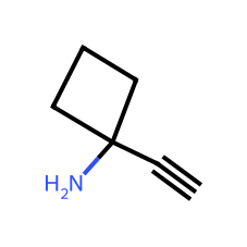 C#CC1(N)CCC1